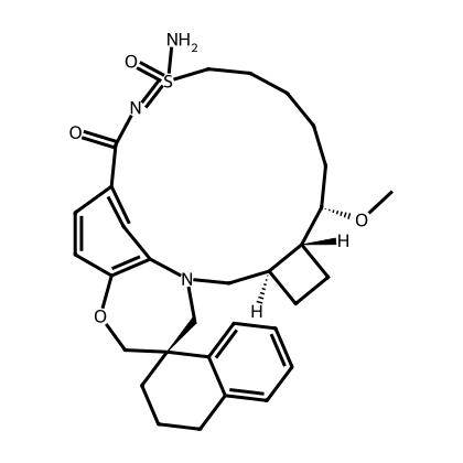 CO[C@H]1CCCCCS(N)(=O)=NC(=O)c2ccc3c(c2)N(C[C@@H]2CC[C@H]21)C[C@@]1(CCCc2ccccc21)CO3